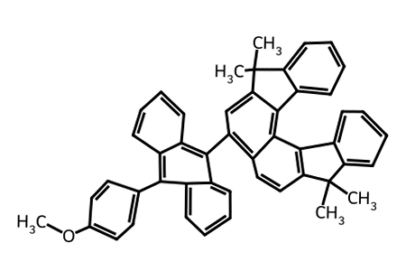 COc1ccc(-c2c3ccccc3c(-c3cc4c(c5c6c(ccc35)C(C)(C)c3ccccc3-6)-c3ccccc3C4(C)C)c3ccccc23)cc1